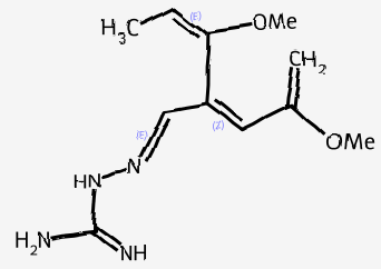 C=C(/C=C(/C=N/NC(=N)N)C(=C/C)\OC)OC